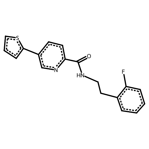 O=C(NCCc1ccccc1F)c1ccc(-c2cccs2)cn1